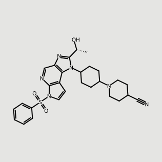 C[C@@H](O)c1nc2cnc3c(ccn3S(=O)(=O)c3ccccc3)c2n1C1CCC(N2CCC(C#N)CC2)CC1